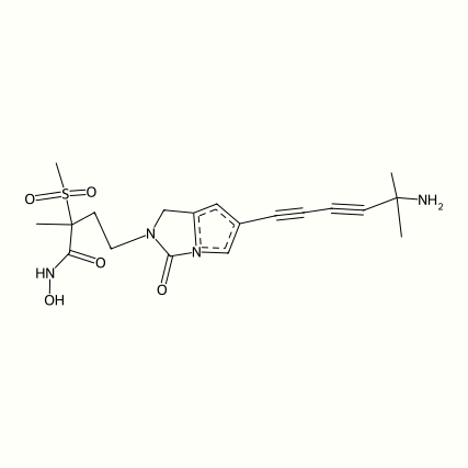 CC(C)(N)C#CC#Cc1cc2n(c1)C(=O)N(CCC(C)(C(=O)NO)S(C)(=O)=O)C2